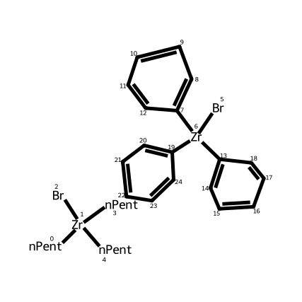 CCCC[CH2][Zr]([Br])([CH2]CCCC)[CH2]CCCC.[Br][Zr]([c]1ccccc1)([c]1ccccc1)[c]1ccccc1